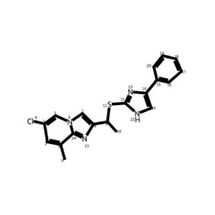 Cc1cc(Cl)cn2cc(C(C)Sc3nc(-c4ccccc4)c[nH]3)nc12